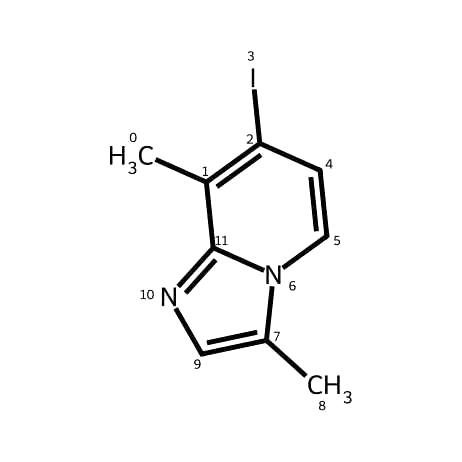 Cc1c(I)ccn2c(C)cnc12